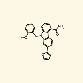 CCOc1ccccc1Cn1c2cc(-c3ccco3)c[c]c2c2c(C(N)=O)cccc21